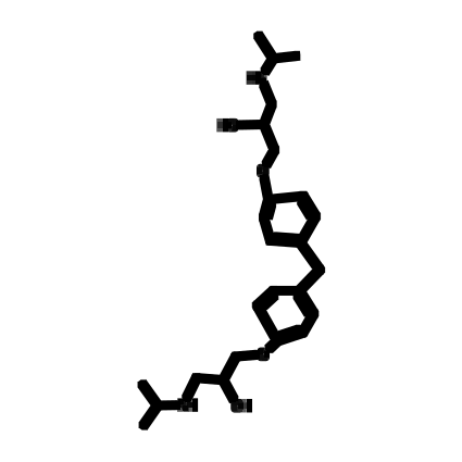 CC(C)NCC(O)COc1ccc(Cc2ccc(OCC(O)CNC(C)C)cc2)cc1